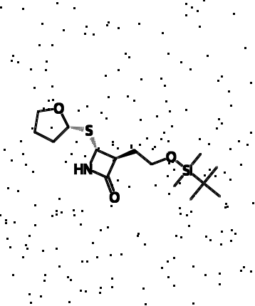 CC(C)(C)[Si](C)(C)OCC[C@H]1C(=O)N[C@@H]1S[C@@H]1CCCO1